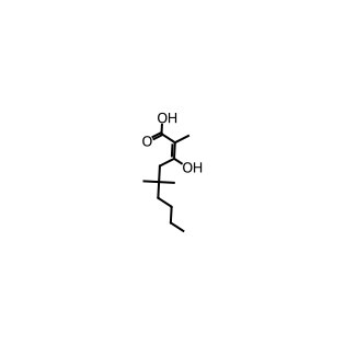 CCCCC(C)(C)CC(O)=C(C)C(=O)O